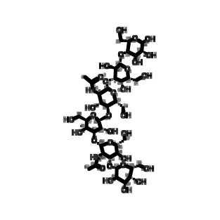 CC(=O)N[C@H]1[C@H](O[C@H]2[C@@H](O)[C@@H](CO)O[C@@H](O[C@H]3[C@H](O)[C@@H](O)[C@H](O)O[C@@H]3CO)[C@@H]2O)O[C@H](CO)[C@@H](O[C@@H]2O[C@H](CO)[C@H](O)[C@H](O[C@@H]3O[C@H](CO)[C@@H](O)[C@H](O[C@@H]4O[C@H](CO)[C@H](O)[C@H](O)[C@H]4O)[C@H]3NC(C)=O)[C@H]2O)[C@@H]1O